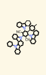 Cc1ccc(-c2c(-n3c4c(c5ccccc53)CCC=C4)c(C#N)c(-n3c4ccccc4c4c3ccc3c5ccccc5n(-c5ccccc5)c34)c(C#N)c2-n2c3ccccc3c3ccccc32)cc1